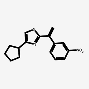 C=C(c1cccc([N+](=O)[O-])c1)c1nc(C2CCCC2)cs1